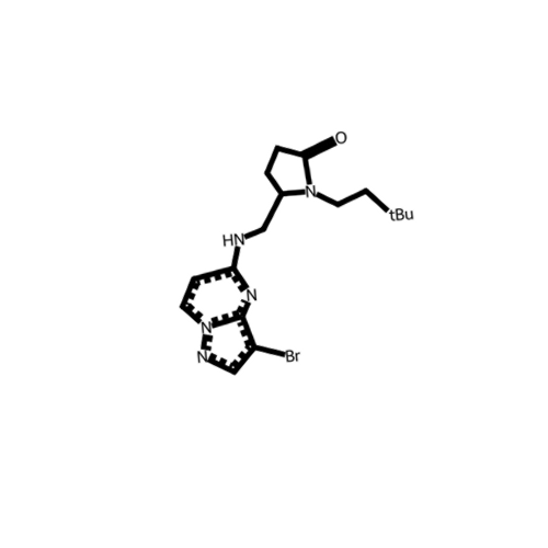 CC(C)(C)CCN1C(=O)CCC1CNc1ccn2ncc(Br)c2n1